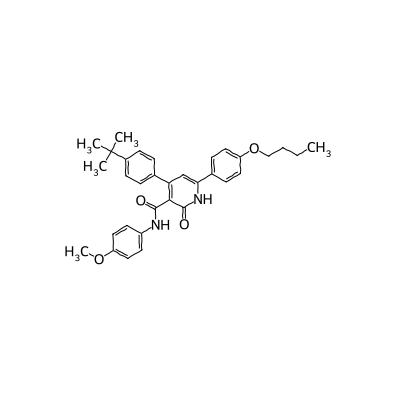 CCCCOc1ccc(-c2cc(-c3ccc(C(C)(C)C)cc3)c(C(=O)Nc3ccc(OC)cc3)c(=O)[nH]2)cc1